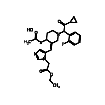 CCOC(=O)Cn1cncc1/C=C1/CN(C(C(=O)C2CC2)c2ccccc2F)CCC1SC(C)=O.Cl